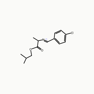 CC(C)COC(=O)C(C)/N=C/c1ccc(Cl)cc1